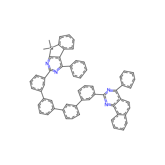 C[Si]1(C)c2ccccc2-c2c(-c3ccccc3)nc(-c3cccc(-c4cccc(-c5cccc(-c6cccc(-c7nc(-c8ccccc8)c8ccc9ccccc9c8n7)c6)c5)c4)c3)nc21